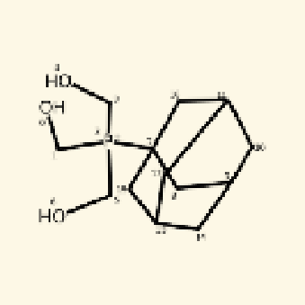 OC[P+](CO)(CO)C12CC3CC(CC(C3)C1)C2